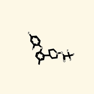 Cc1ccc(Sc2ccc(F)cc2F)c(C2CCN(OC(=O)C(F)(F)F)CC2)c1